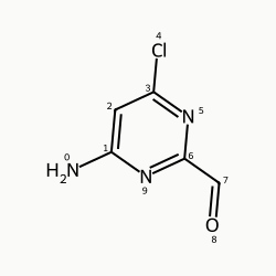 Nc1cc(Cl)nc(C=O)n1